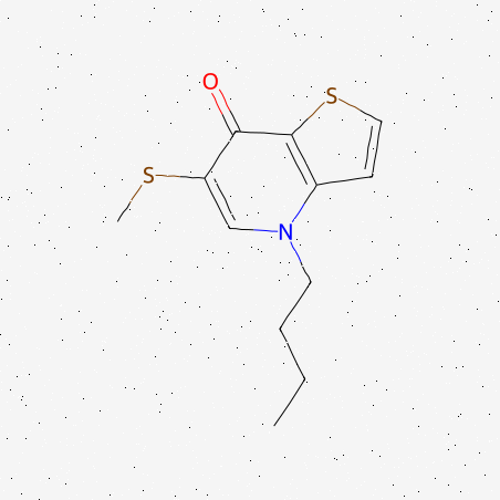 CCCCn1cc(SC)c(=O)c2sccc21